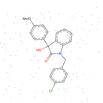 COc1ccc(C2(O)C(=O)N(Cc3ccc(Cl)cc3)c3ccccc32)cc1